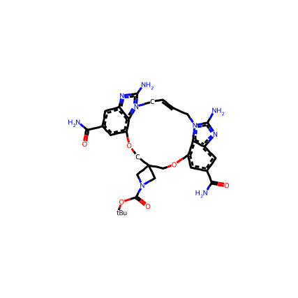 CC(C)(C)OC(=O)N1CC2(COc3cc(C(N)=O)cc4nc(N)n(c34)C/C=C/Cn3c(N)nc4cc(C(N)=O)cc(c43)OC2)C1